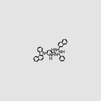 C1=C(C2NC(c3ccccc3)NC(c3ccc4ccccc4c3)N2)NCC(n2c3ccccc3c3c4ccccc4ccc32)=C1